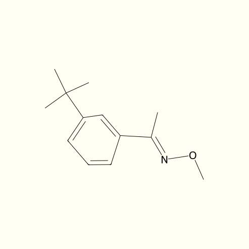 CO/N=C(\C)c1cccc(C(C)(C)C)c1